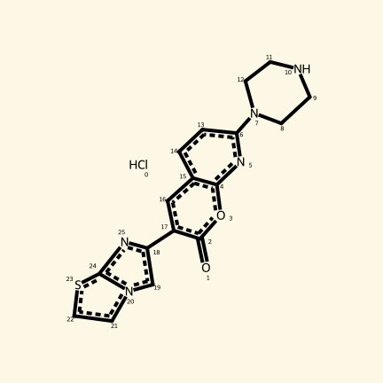 Cl.O=c1oc2nc(N3CCNCC3)ccc2cc1-c1cn2ccsc2n1